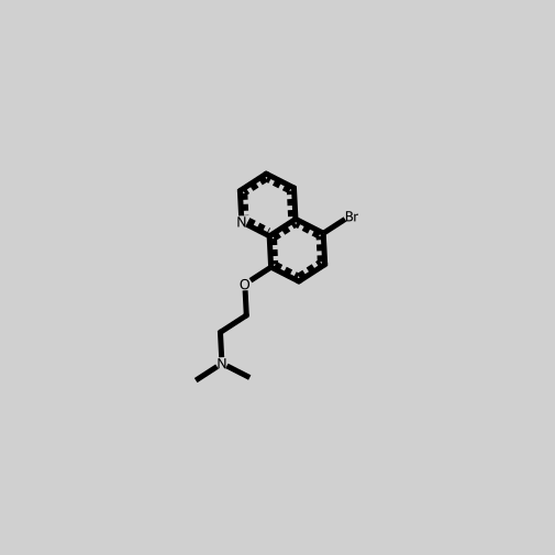 CN(C)CCOc1ccc(Br)c2cccnc12